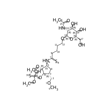 COC[C@H]1C[C@H](NC(=S)CCCCO[C@@H]2O[C@H](CO)[C@H](O)[C@H](O)[C@H]2NC(C)=O)[C@@H](OC)C1OP(O)(=S)OC